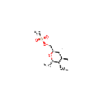 CC(=O)OC1O[C@@H](COS(=O)(=O)C(F)(F)F)[C@H](C)[C@@H](C)[C@H]1OC(C)=O